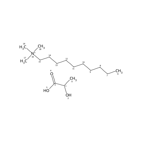 CC(O)C(=O)O.CCCCCCCCCC[N+](C)(C)C